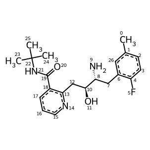 Cc1ccc(F)c(C[C@@H](N)[C@@H](O)Cc2ncccc2C(=O)NC(C)(C)C)c1